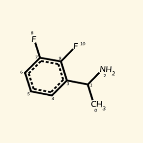 C[C](N)c1cccc(F)c1F